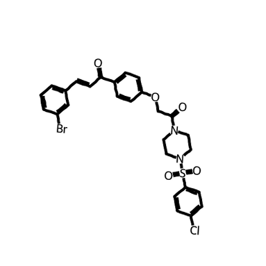 O=C(C=Cc1cccc(Br)c1)c1ccc(OCC(=O)N2CCN(S(=O)(=O)c3ccc(Cl)cc3)CC2)cc1